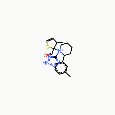 Cc1cccc(C2CCCC[N+]2(c2nn[nH]n2)C2(C=O)SC=CC2C)c1